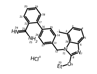 Cl.[CH2]c1cccc2nc(OCC)n(Cc3ccc(-c4ccccc4C(=N)N)cc3)c12